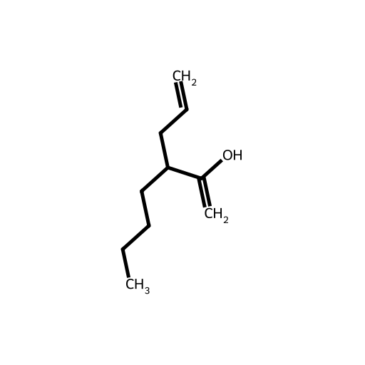 C=CCC(CCCC)C(=C)O